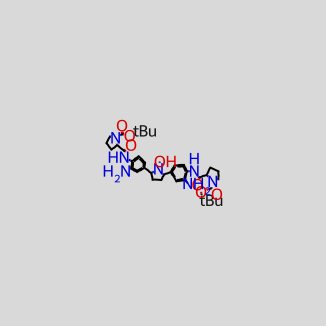 CC(C)(C)OC(=O)N1CCCC1C(=O)Nc1ccc(C2CCC(c3ccc(NC(=O)C4CCCN4C(=O)OC(C)(C)C)c(N)c3)N2O)cc1N